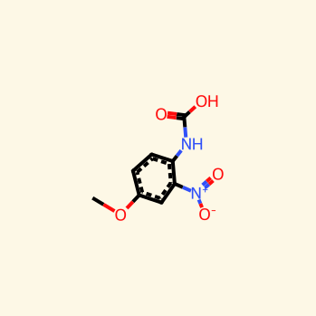 COc1ccc(NC(=O)O)c([N+](=O)[O-])c1